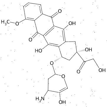 COc1cccc2c1C(=O)c1c(O)c3c(c(O)c1C2=O)C[C@@](O)(C(=O)CO)C[C@@H]3OC1CC(N)C(O)=CO1